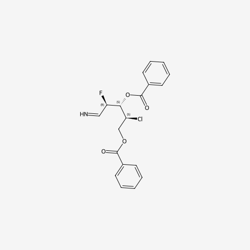 N=C[C@@H](F)[C@H](OC(=O)c1ccccc1)[C@@H](Cl)COC(=O)c1ccccc1